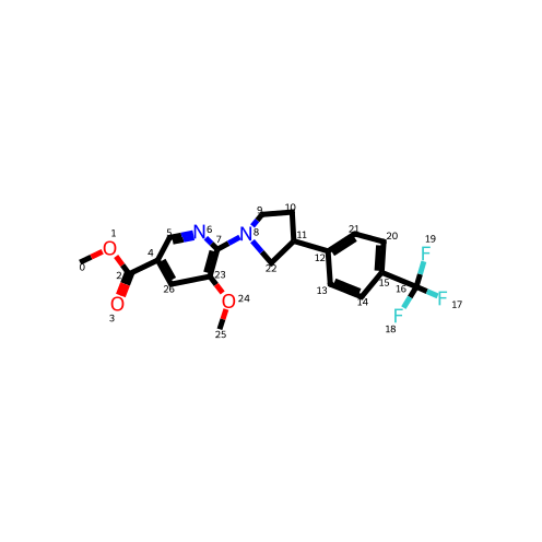 COC(=O)c1cnc(N2CCC(c3ccc(C(F)(F)F)cc3)C2)c(OC)c1